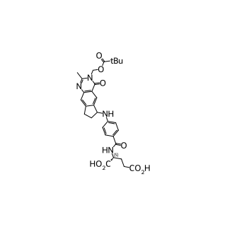 Cc1nc2cc3c(cc2c(=O)n1COC(=O)C(C)(C)C)C(Nc1ccc(C(=O)N[C@@H](CCC(=O)O)C(=O)O)cc1)CC3